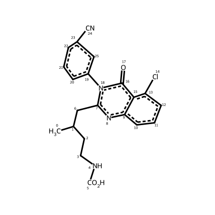 CC(CCNC(=O)O)Cc1nc2cccc(Cl)c2c(=O)n1-c1cccc(C#N)c1